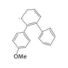 COc1ccc(C2=C(c3ccccc3)C=CC[CH]2)cc1